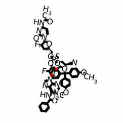 COc1ccc(C(OCC2OC(n3cnc4c(NC(=O)c5ccccc5)ncnc43)C(F)[C@@H]2OP(=S)(OCCC#N)OC[C@H]2C[C@@H](F)[C@H](n3ccc(NC(C)=O)nc3=O)O2)(c2ccccc2)c2ccc(OC)cc2)cc1